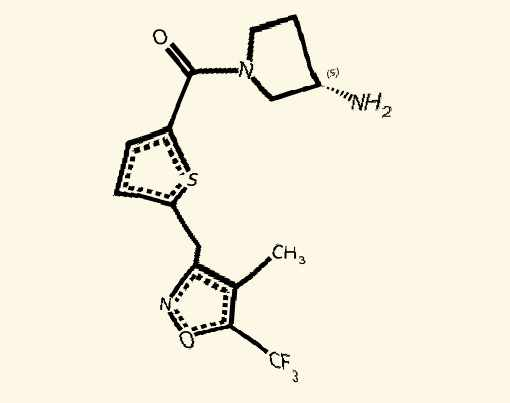 Cc1c(-c2ccc(C(=O)N3CC[C@H](N)C3)s2)noc1C(F)(F)F